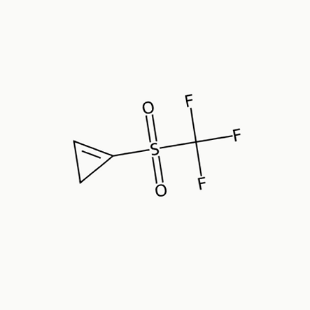 O=S(=O)(C1=CC1)C(F)(F)F